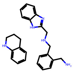 NCc1ccccc1CNCc1nc2ccccc2[nH]1.c1ccc2c(c1)CCCN2